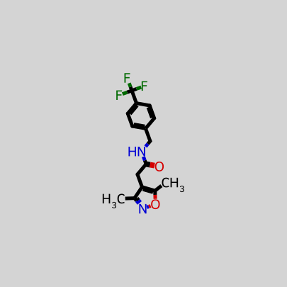 Cc1noc(C)c1CC(=O)NCc1ccc(C(F)(F)F)cc1